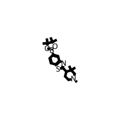 CN1CCC(c2nc3cc(B4OC(C)(C)C(C)(C)O4)ccc3s2)C(C)(C)C1